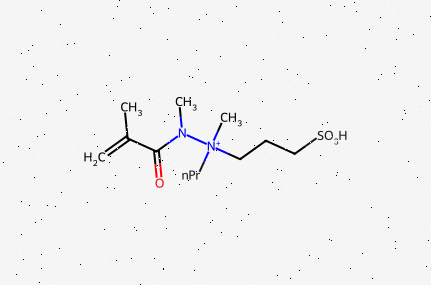 C=C(C)C(=O)N(C)[N+](C)(CCC)CCCS(=O)(=O)O